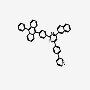 C1=CC2C(c3ccccc3)=c3ccccc3=C(c3ccc(-c4nc(-c5ccc(-c6cccnc6)cc5)cc(-c5ccc6ccccc6c5)n4)cc3)C2C=C1